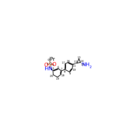 CC(C)S(=O)(=O)NC1=CC(c2ccc([C@H]3C[C@@H]3N)cc2)=CCC1